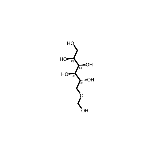 OCOC[C@@H](O)[C@@H](O)[C@H](O)[C@@H](O)CO